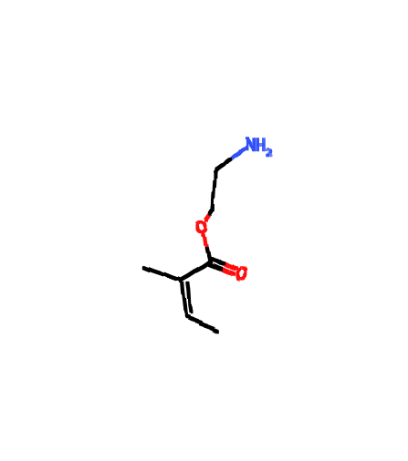 CC=C(C)C(=O)OCCN